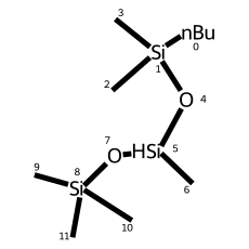 CCCC[Si](C)(C)O[SiH](C)O[Si](C)(C)C